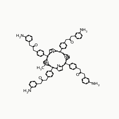 Cc1cc2[nH]c1c(-c1ccc(CC(=O)Cc3cccc(N)c3)cc1)c1nc(c(-c3ccc(CC(=O)Cc4cccc(N)c4)cc3)c3ccc([nH]3)c(-c3ccc(CC(=O)Cc4cccc(N)c4)cc3)c3nc(c2-c2ccc(CC(=O)Cc4cccc(N)c4)cc2)C=C3)C=C1